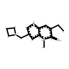 CCc1cc2ncc(CN3CCC3)cc2n(C)c1=O